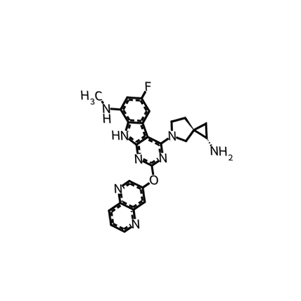 CNc1cc(F)cc2c1[nH]c1nc(Oc3cnc4cccnc4c3)nc(N3CC[C@]4(C[C@@H]4N)C3)c12